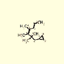 CCC/C(C)=C(/C)C(C)(C)CC1CC1